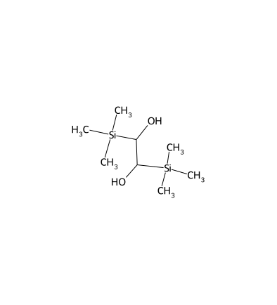 C[Si](C)(C)C(O)C(O)[Si](C)(C)C